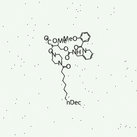 CCCCCCCCCCCCCCCCCC(=O)N1CCN(OC(=C=O)C(COC(=O)NCC2=CC=CCN2C(=O)c2ccccc2OC)OC)CC1